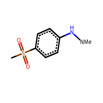 CNNc1ccc(S(C)(=O)=O)cc1